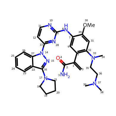 C=C(C(N)=O)c1cc(Nc2nccc(-n3nc(N4CCCC4)c4ccccc43)n2)c(OC)cc1N(C)CCN(C)C